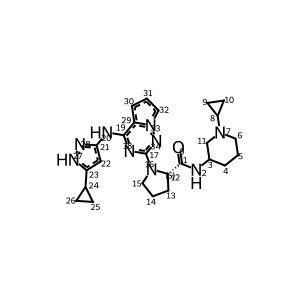 O=C(NC1CCCN(C2CC2)C1)[C@@H]1CCCN1c1nc(Nc2cc(C3CC3)[nH]n2)c2cccn2n1